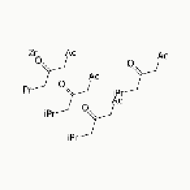 CC(=O)CC(=O)CC(C)C.CC(=O)CC(=O)CC(C)C.CC(=O)CC(=O)CC(C)C.CC(=O)CC(=O)CC(C)C.[Zr]